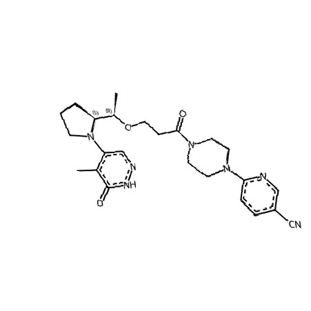 Cc1c(N2CCC[C@H]2[C@@H](C)OCCC(=O)N2CCN(c3ccc(C#N)cn3)CC2)cn[nH]c1=O